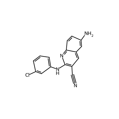 N#Cc1cc2cc(N)ccc2nc1Nc1cccc(Cl)c1